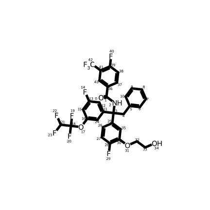 O=C(NC(Cc1ccccc1)(c1cc(F)cc(OC(F)(F)C(F)F)c1)c1ccc(F)c(OCCO)c1)c1ccc(F)c(C(F)(F)F)c1